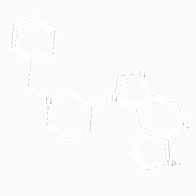 c1ccc(CN2CCCC(n3cnc4cnc5[nH]ccc5c43)C2)cc1